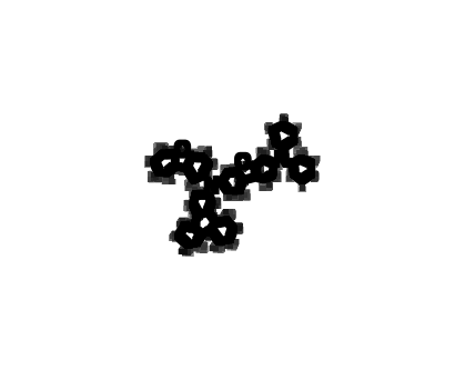 c1ccc(N(c2ccccc2)c2ccc3c(c2)oc2cc(N(c4ccc5oc6ccccc6c5c4)c4ccc5c6ccccc6c6ccccc6c5c4)ccc23)cc1